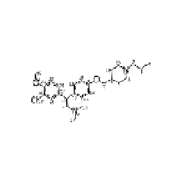 CCCN1CCC(COc2ccc3c(c2)CN(C)CC3c2ccc(OC)c(Cl)c2)CC1